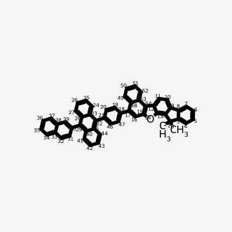 CC1(C)c2ccccc2-c2ccc3c(oc4cc(-c5ccc(-c6c7ccccc7c(-c7ccc8ccccc8c7)c7ccccc67)cc5)c5ccccc5c43)c21